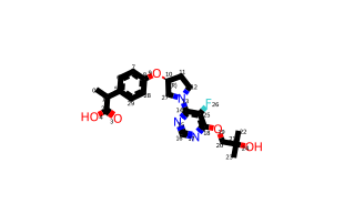 CC(C(=O)O)c1ccc(O[C@@H]2CCN(c3ncnc(OCC(C)(C)O)c3F)C2)cc1